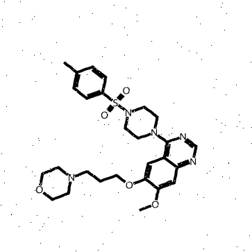 COc1cc2ncnc(N3CCN(S(=O)(=O)c4ccc(C)cc4)CC3)c2cc1OCCCN1CCOCC1